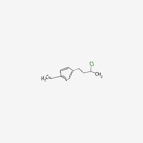 C=Cc1ccc(CCC(C)Cl)cc1